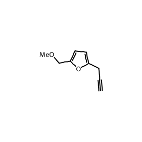 C#CCc1ccc(COC)o1